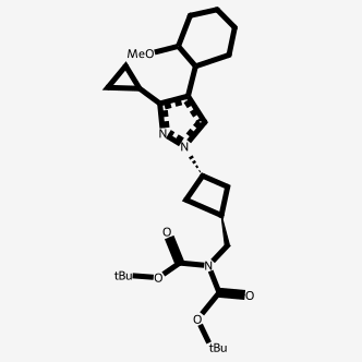 COC1CCCCC1c1cn([C@H]2C[C@H](CN(C(=O)OC(C)(C)C)C(=O)OC(C)(C)C)C2)nc1C1CC1